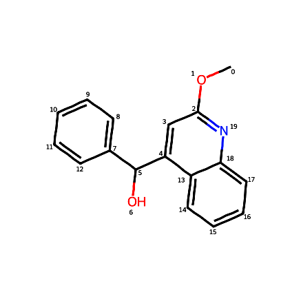 COc1cc(C(O)c2ccccc2)c2ccccc2n1